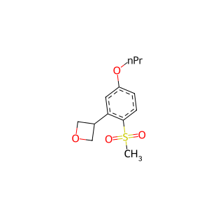 CCCOc1ccc(S(C)(=O)=O)c(C2COC2)c1